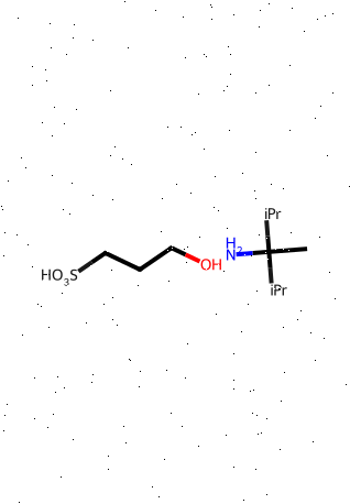 CC(C)C(C)(N)C(C)C.O=S(=O)(O)CCCO